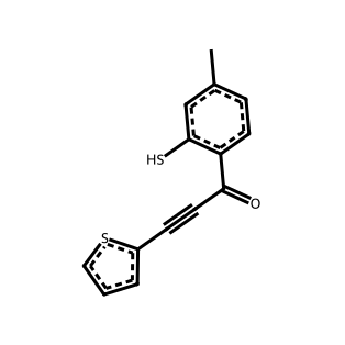 Cc1ccc(C(=O)C#Cc2cccs2)c(S)c1